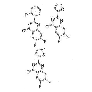 O=c1oc(-c2ccccc2F)nc2cc(F)c(F)cc12.O=c1oc(-c2ccco2)nc2cc(F)c(F)cc12.O=c1oc(-c2cccs2)nc2cc(F)c(F)cc12